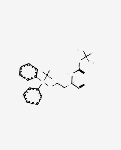 CC(C)(C)OC(=O)N[C@@H](C=O)CCO[Si](c1ccccc1)(c1ccccc1)C(C)(C)C